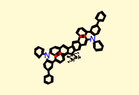 C[Si](C)(C)C1([Si](C)(C)C)c2cc3cc(N(c4ccccc4)c4ccc(-c5ccccc5)cc4-c4ccccc4)ccc3cc2-c2cc3ccc(N(c4ccccc4)c4ccc(-c5ccccc5)cc4-c4ccccc4)cc3cc21